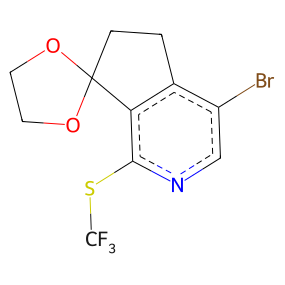 FC(F)(F)Sc1ncc(Br)c2c1C1(CC2)OCCO1